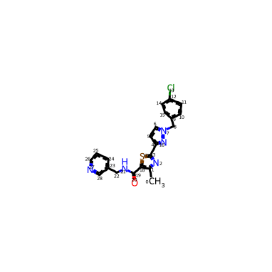 Cc1nc(-c2ccn(Cc3ccc(Cl)cc3)n2)sc1C(=O)NCc1cccnc1